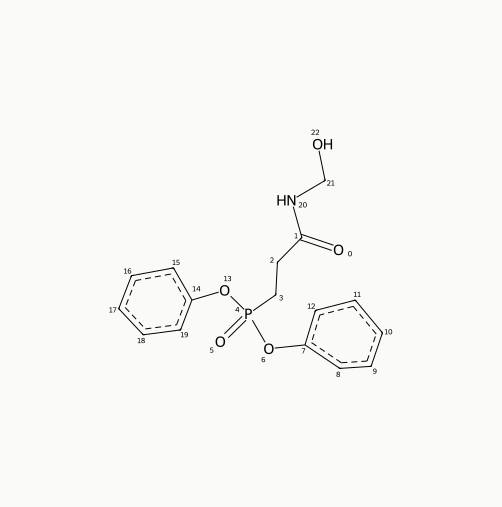 O=C(CCP(=O)(Oc1ccccc1)Oc1ccccc1)NCO